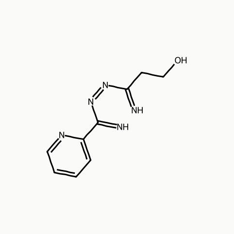 N=C(CCO)/N=N\C(=N)c1ccccn1